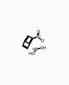 O=[N+]([O-])c1cc2ccc1-2.OBO